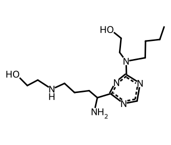 CCCCN(CCO)c1ncnc(C(N)CCCNCCO)n1